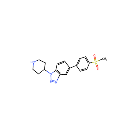 CS(=O)(=O)c1ccc(-c2ccc3c(c2)nnn3C2CCNCC2)cc1